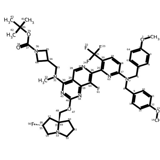 COc1ccc(CN(Cc2ccc(OC)cc2)c2ccc(C(F)(F)F)c(-c3ncc4c(N(C)CC5CN(C(=O)OC(C)(C)C)C5)nc(OC[C@@]56CCCN5C[C@H](F)C6)nc4c3F)n2)cc1